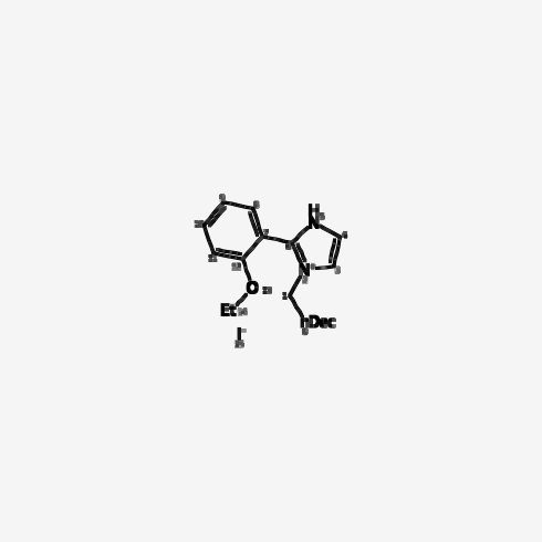 CCCCCCCCCCC[n+]1cc[nH]c1-c1ccccc1OCC.[I-]